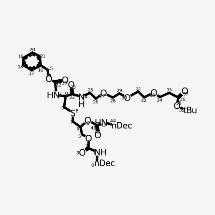 CCCCCCCCCCNC(=O)OCC(CSCC(NC(=O)OCc1ccccc1)C(=O)NCCOCCOCCOCCC(=O)OC(C)(C)C)OC(=O)NCCCCCCCCCC